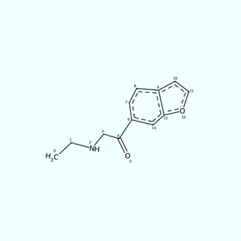 CCNCC(=O)c1ccc2ccoc2c1